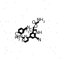 Cc1ccc(C#N)cc1Nc1nccc(-c2cc(C#N)c3c(c2)[C@@](C)(COC(=O)CN)CN3)n1